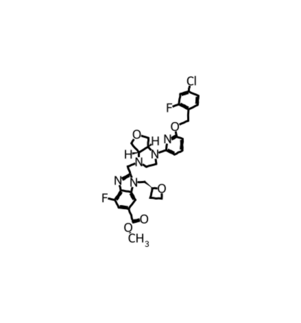 COC(=O)c1cc(F)c2nc(CN3CCN(c4cccc(OCc5ccc(Cl)cc5F)n4)[C@H]4COC[C@H]43)n(C[C@@H]3CCO3)c2c1